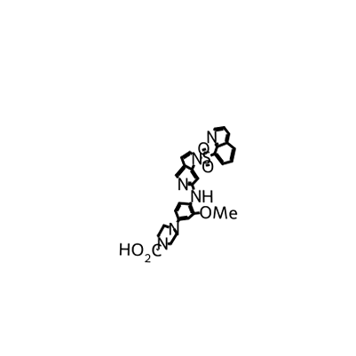 COc1cc(N2CCN(C(=O)O)CC2)ccc1Nc1cc2c(ccn2S(=O)(=O)c2cccc3cccnc23)cn1